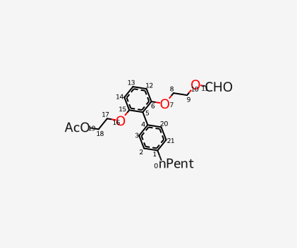 CCCCCc1ccc(-c2c(OCCOC=O)cccc2OCCOC(C)=O)cc1